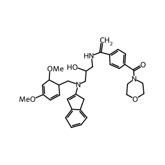 C=C(NCC(O)CN(CC1C=CC(OC)=CC1OC)C1=Cc2ccccc2C1)c1ccc(C(=O)N2CCOCC2)cc1